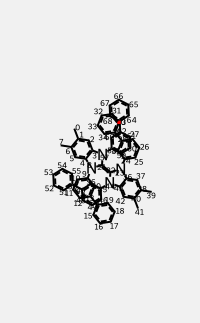 Cc1cc2c(cc1C)N(c1cccc(-c3ccccc3)c1)C(=C1N(c3cccc(-c4ccccc4)c3)c3cc(C)c(C)cc3N1c1cccc(-c3ccccc3)c1)N2c1cccc(-c2ccccc2)c1